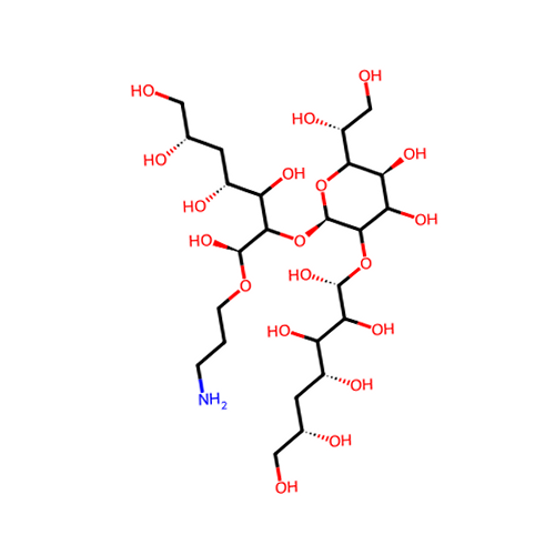 NCCCO[C@@H](O)C(O[C@H]1OC([C@H](O)CO)[C@@H](O)C(O)C1O[C@@H](O)C(O)C(O)[C@H](O)C[C@H](O)CO)C(O)[C@H](O)C[C@H](O)CO